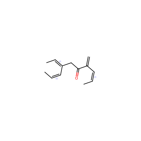 C=C(/C=C\C)C(=O)CC(/C=C\C)=C/C